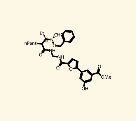 CCCCCC(C(=O)NCNC(=O)c1ccc(-c2cc(O)cc(C(=O)OC)c2)o1)[C@@H](CC)N(C=O)OCc1ccccc1